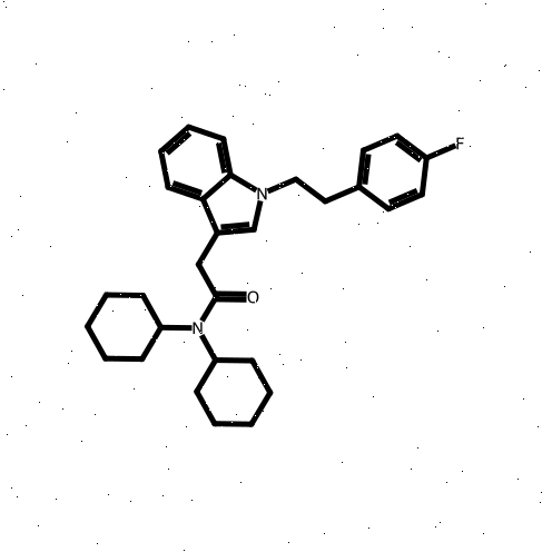 O=C(Cc1cn(CCc2ccc(F)cc2)c2ccccc12)N(C1CCCCC1)C1CCCCC1